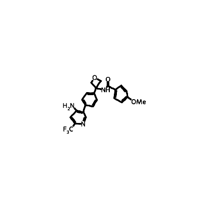 COc1ccc(C(=O)NC2(c3ccc(-c4cnc(C(F)(F)F)cc4N)cc3)COC2)cc1